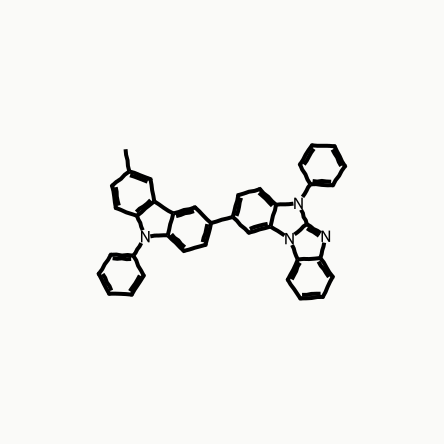 Cc1ccc2c(c1)c1cc(-c3ccc4c(c3)n3c5ccccc5nc3n4-c3ccccc3)ccc1n2-c1ccccc1